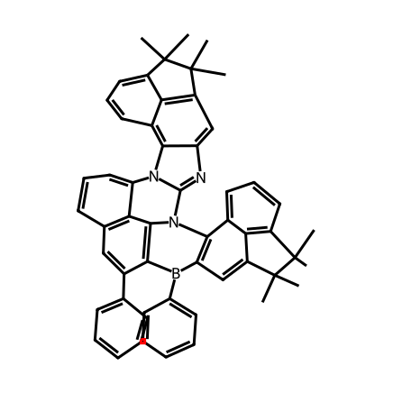 CC1(C)c2cccc3c4c(cc(c23)C1(C)C)B(c1ccccc1)c1c(-c2ccccc2)cc2cccc3c2c1n-4c1nc2cc4c5c(cccc5c2n31)C(C)(C)C4(C)C